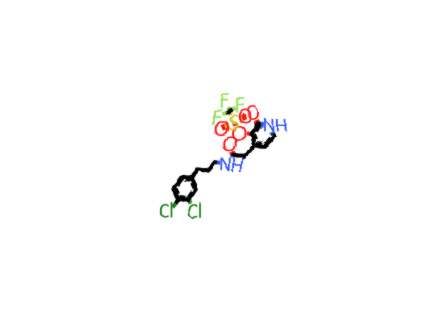 O=C(Cc1cc[nH]c(=O)c1OS(=O)(=O)C(F)(F)F)NCCCc1ccc(Cl)c(Cl)c1